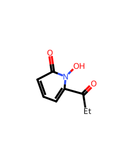 CCC(=O)c1cccc(=O)n1O